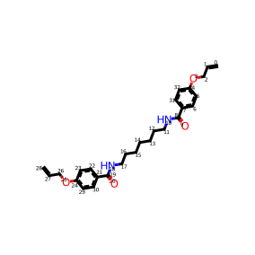 C=CCOc1ccc(C(=O)NCCCCCCCNC(=O)c2ccc(OCC=C)cc2)cc1